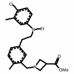 CCN(CCc1ccc(C)c(CN2CC(C(=O)OC)C2)c1)c1ccc(Cl)c(C)c1